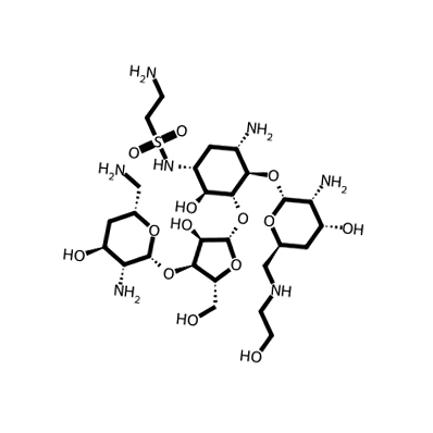 NCCS(=O)(=O)N[C@@H]1C[C@H](N)[C@@H](O[C@H]2O[C@H](CNCCO)C[C@@H](O)[C@H]2N)[C@H](O[C@@H]2O[C@H](CO)[C@@H](O[C@H]3O[C@@H](CN)C[C@H](O)[C@H]3N)[C@H]2O)[C@H]1O